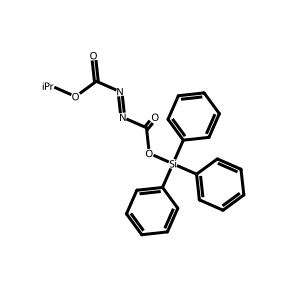 CC(C)OC(=O)N=NC(=O)O[Si](c1ccccc1)(c1ccccc1)c1ccccc1